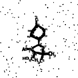 CC(=O)N1C(C(=O)O)C(C)(C)S[C@@H]1c1ccc(Cl)cc1